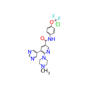 CN1CCN(c2ncc(C(=O)Nc3ccc(OC(F)(F)Cl)cc3)cc2-c2cncnc2)CC1